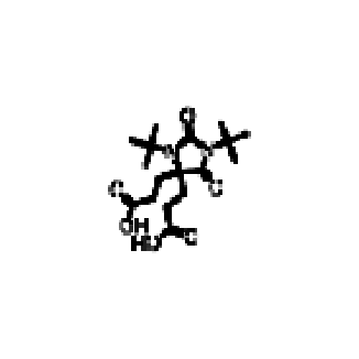 CC(C)(C)N1C(=O)N(C(C)(C)C)C(CCC(=O)O)(CCC(=O)O)C1=O